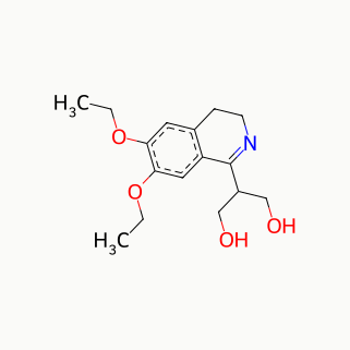 CCOc1cc2c(cc1OCC)C(C(CO)CO)=NCC2